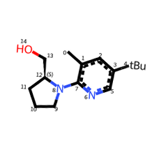 Cc1cc(C(C)(C)C)cnc1N1CCC[C@H]1CO